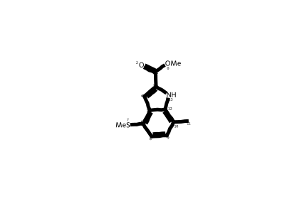 COC(=O)c1cc2c(SC)ccc(C)c2[nH]1